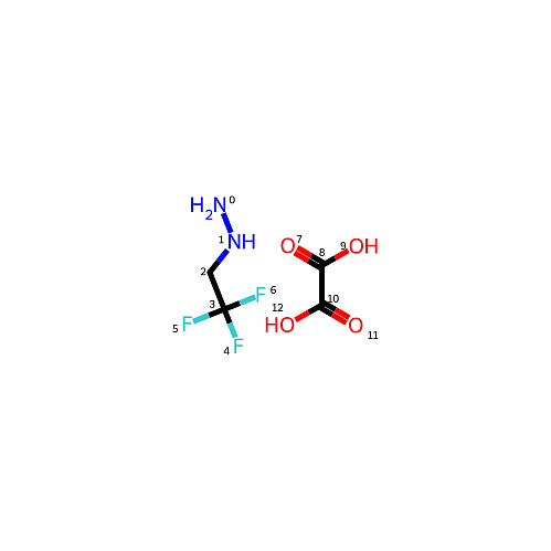 NNCC(F)(F)F.O=C(O)C(=O)O